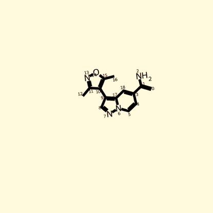 C=C(N)c1ccn2ncc(-c3c(C)noc3C)c2c1